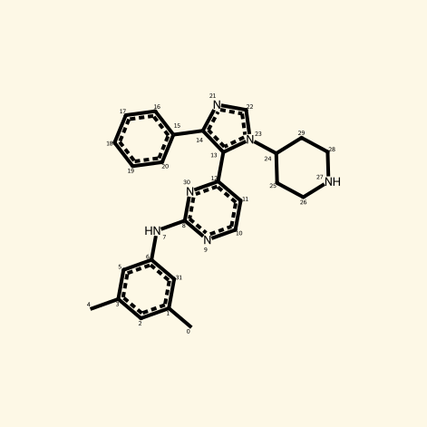 Cc1cc(C)cc(Nc2nccc(-c3c(-c4ccccc4)ncn3C3CCNCC3)n2)c1